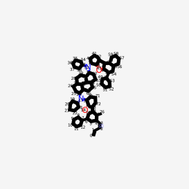 C=C/C=C\c1cc(-c2ccccc2)c2oc3c(N(c4ccccc4)c4ccc5ccc6c(N(c7ccccc7)c7cccc8c7oc7c(-c9ccccc9)cc9ccccc9c78)ccc7ccc4c5c76)cccc3c2c1C